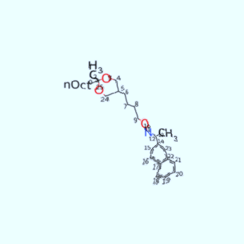 CCCCCCCCC1(C)OCC(CCCCON=C(C)c2ccc3ccccc3c2)CO1